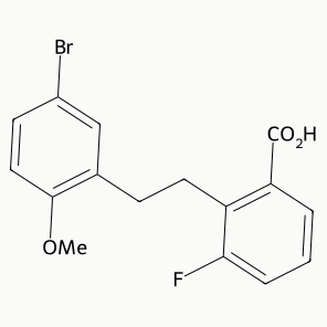 COc1ccc(Br)cc1CCc1c(F)cccc1C(=O)O